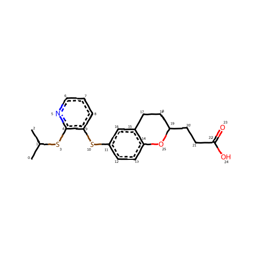 CC(C)Sc1ncccc1Sc1ccc2c(c1)CCC(CCC(=O)O)O2